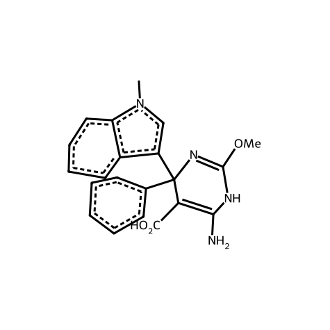 COC1=NC(c2ccccc2)(c2cn(C)c3ccccc23)C(C(=O)O)=C(N)N1